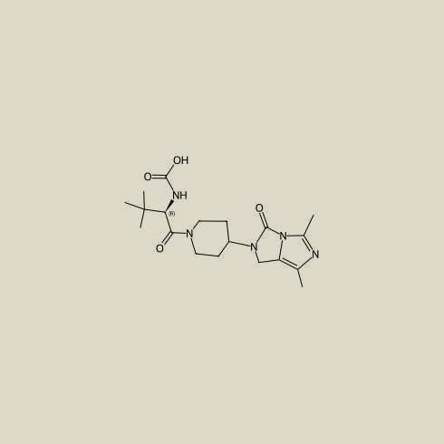 Cc1nc(C)n2c1CN(C1CCN(C(=O)[C@H](NC(=O)O)C(C)(C)C)CC1)C2=O